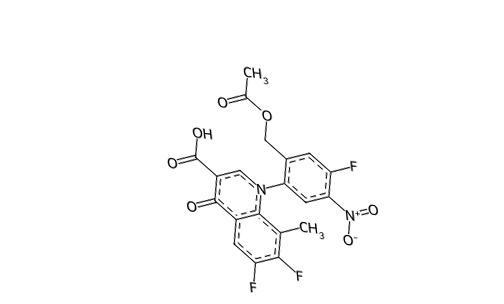 CC(=O)OCc1cc(F)c([N+](=O)[O-])cc1-n1cc(C(=O)O)c(=O)c2cc(F)c(F)c(C)c21